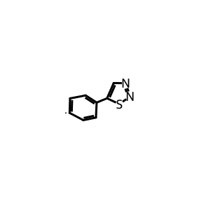 [c]1ccc(-c2cnns2)cc1